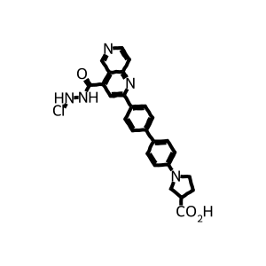 O=C(NNCl)c1cc(-c2ccc(-c3ccc(N4CCC(C(=O)O)C4)cc3)cc2)nc2ccncc12